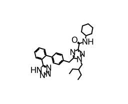 CCC(CC)Cn1nc(C(=O)NC2CCCCC2)nc1Cc1ccc(-c2ccccc2-c2nnn[nH]2)cc1